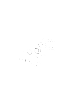 COC(=O)c1cc2c(cc1C(=O)OC)-c1nc(C(C)C)c(/C=C/[C@@H]3C[C@H](CC(=O)OC(C)(C)C)OC(C)(C)O3)c(-c3ccc(F)cc3)c1CCC2